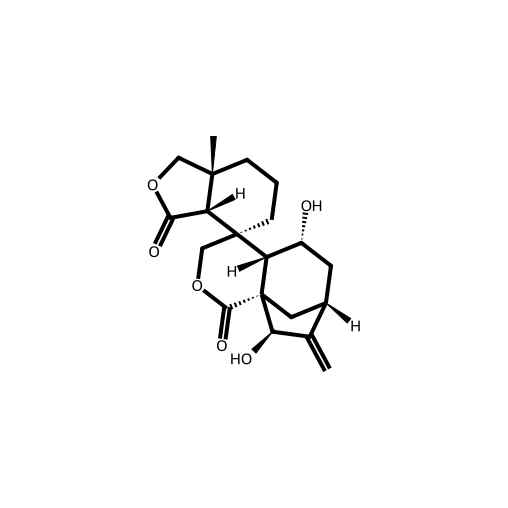 C=C1[C@H]2C[C@@H](O)[C@H]3[C@@]4(CCC[C@@]5(C)COC(=O)[C@H]54)COC(=O)[C@]3(C2)[C@@H]1O